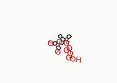 COc1ccc(C2(c3ccc(OC)cc3)C=Cc3c4c(c5ccccc5c3O2)-c2ccccc2C4(C)OCCOC(=O)COCC(=O)O)cc1